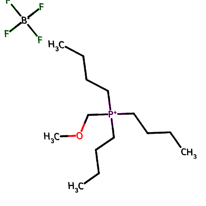 CCCC[P+](CCCC)(CCCC)COC.F[B-](F)(F)F